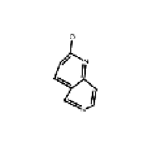 [O]c1ccc2cnccc2n1